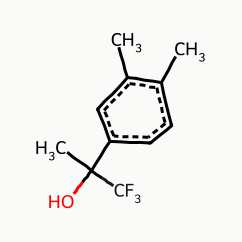 Cc1ccc(C(C)(O)C(F)(F)F)cc1C